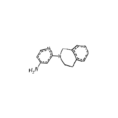 Nc1ccnc(N2CCc3ccccc3C2)c1